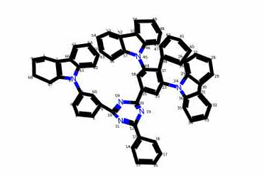 C1=Cc2c(n(-c3cccc(-c4nc(-c5ccccc5)nc(-c5cc(-n6c7ccccc7c7ccccc76)c(-c6ccccc6)c(-n6c7ccccc7c7ccccc76)c5)n4)c3)c3ccccc23)CC1